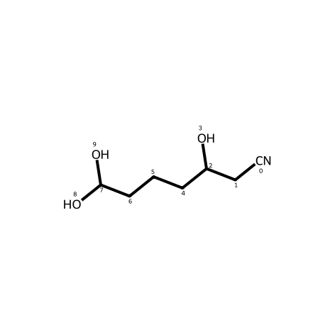 N#CCC(O)CCCC(O)O